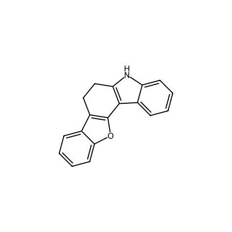 c1ccc2c3c([nH]c2c1)CCc1c-3oc2ccccc12